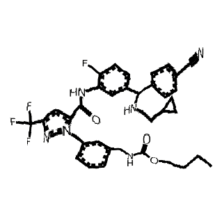 CCCCOC(=O)NCc1cccc(-n2nc(C(F)(F)F)cc2C(=O)Nc2cc(C(NCC3CC3)c3ccc(C#N)cc3)ccc2F)c1